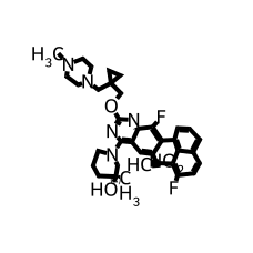 C#Cc1c(F)ccc2cccc(-c3c([N+](=O)[O-])cc4c(N5CCC[C@@](C)(O)C5)nc(OCC5(CN6CCN(C)CC6)CC5)nc4c3F)c12